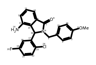 COc1ccc(CN2C(=O)c3cccc(N)c3C2c2cc(F)ccc2Cl)cc1